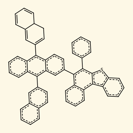 C1=CC2=CC(c3c4ccccc4c(-c4ccc5ccccc5c4)c4cc(-c5c(-c6ccccc6)c6sc7ccccc7c6c6ccccc56)ccc34)=CCC2C=C1